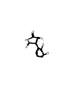 C=C1C(=O)NC(=O)C1c1cccc(Cl)c1Cl